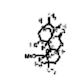 C=C1[C@@H]2C[C@H](O)[C@@H]3[C@](C2)(C(=O)O[C@H]2CCC(C)(C)[C@H]4[C@H](OC)OC[C@@]243)[C@@H]1O